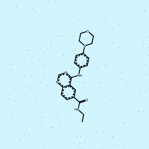 CCNC(=O)c1ccc2ncnc(Nc3ccc(N4CCOCC4)cc3)c2c1